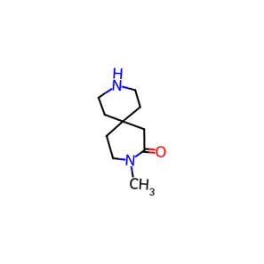 CN1CCC2(CCNCC2)CC1=O